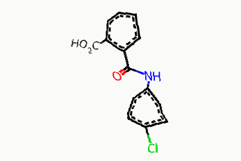 O=C(O)c1ccccc1C(=O)Nc1ccc(Cl)cc1